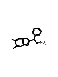 Cc1cc2c(cc1C)CC(C(C[N+](=O)[O-])c1ccccc1)=C2